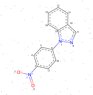 O=[N+]([O-])c1ccc(-n2ncc3ccccc32)cc1